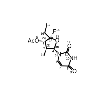 CC(=O)O[C@H]1[C@H](C)[C@H](n2ccc(=O)[nH]c2=O)O[C@]1(F)CI